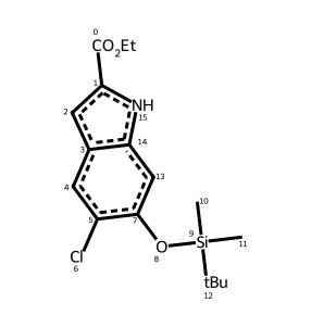 CCOC(=O)c1cc2cc(Cl)c(O[Si](C)(C)C(C)(C)C)cc2[nH]1